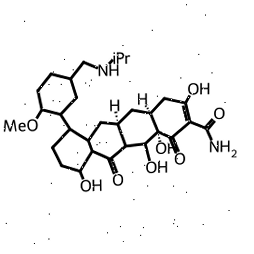 COC1CCC(CNC(C)C)CC1C1CCC(O)C2C(=O)C3C(O)[C@]4(O)C(=O)C(C(N)=O)=C(O)C[C@@H]4C[C@@H]3CC12